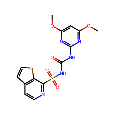 COc1cc(OC)nc(NC(=O)NS(=O)(=O)c2nccc3ccsc23)n1